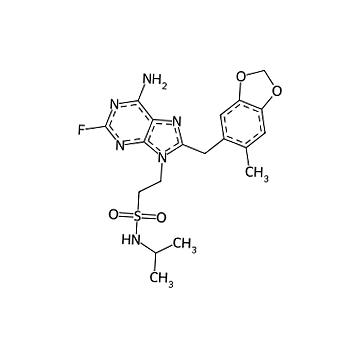 Cc1cc2c(cc1Cc1nc3c(N)nc(F)nc3n1CCS(=O)(=O)NC(C)C)OCO2